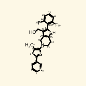 Cc1sc(-c2cccnc2)nc1N1CCc2[nH]c(-c3c(F)cccc3F)c(CO)c2C1